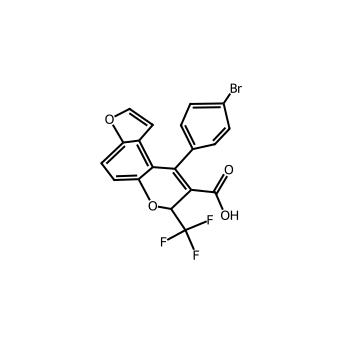 O=C(O)C1=C(c2ccc(Br)cc2)c2c(ccc3occc23)OC1C(F)(F)F